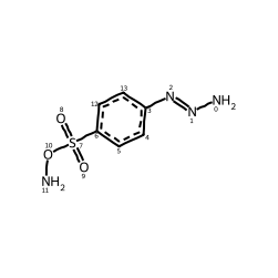 NN=Nc1ccc(S(=O)(=O)ON)cc1